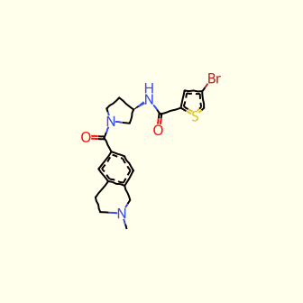 CN1CCc2cc(C(=O)N3CC[C@@H](NC(=O)c4cc(Br)cs4)C3)ccc2C1